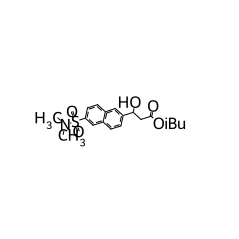 CC(C)COC(=O)CC(O)c1ccc2cc(S(=O)(=O)N(C)C)ccc2c1